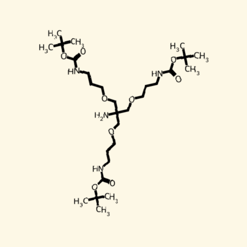 CC(C)(C)OC(=O)NCCCOCC(N)(COCCCNC(=O)OC(C)(C)C)COCCCNC(=O)OC(C)(C)C